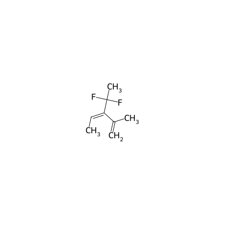 C=C(C)/C(=C\C)C(C)(F)F